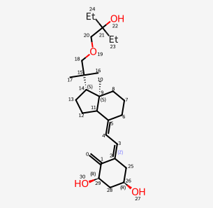 C=C1/C(=C\C=C2CCC[C@@]3(C)C2CC[C@@H]3C(C)(C)COCC(O)(CC)CC)C[C@@H](O)C[C@H]1O